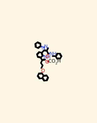 O=C(O)Oc1[nH]c2c(-c3c(C(=O)NCc4ccccc4)cnn3-c3ccccc3)cccc2c1CCCOc1cccc2ccccc12